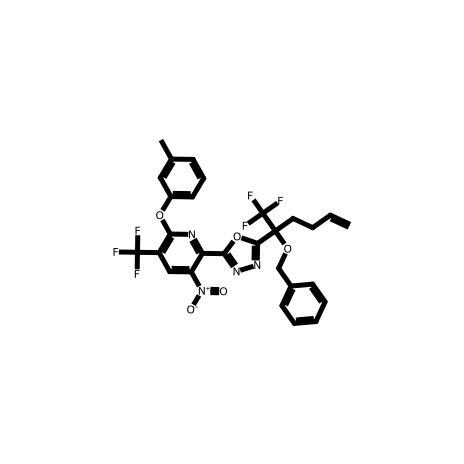 C=CCCC(OCc1ccccc1)(c1nnc(-c2nc(Oc3cccc(C)c3)c(C(F)(F)F)cc2[N+](=O)[O-])o1)C(F)(F)F